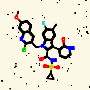 COc1ccc2cc(Cn3c(C(=O)NS(=O)(=O)C4CC4)c(-c4ccc[nH]c4=O)c4cc(C)c(F)cc43)c(Cl)nc2c1